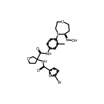 Cc1cc(NC(=O)C2(NC(=O)c3ccc(Br)s3)CCOC2)ccc1N1CCOCCC1=NO